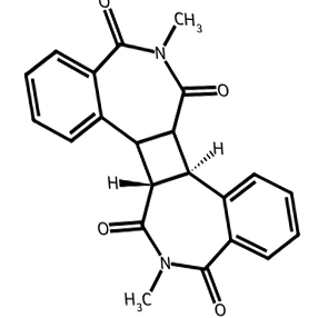 CN1C(=O)c2ccccc2C2C(C1=O)[C@H]1c3ccccc3C(=O)N(C)C(=O)[C@H]21